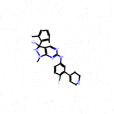 Cc1cccc(C)c1C1(N)NN(C)c2nc(Nc3ccc(F)c(C4=CCNCC4)c3)ncc21